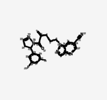 C=C(CCCn1ncc2ncc(C#N)cc21)C(=O)N1N=CCC1c1cc(C)cc(F)c1